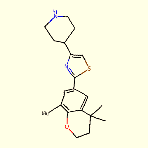 CC(C)(C)c1cc(-c2nc(C3CCNCC3)cs2)cc2c1OCCC2(C)C